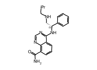 CC(C)CNC[C@@H](Nc1ncnc2c(C(N)=O)cccc12)c1ccccc1